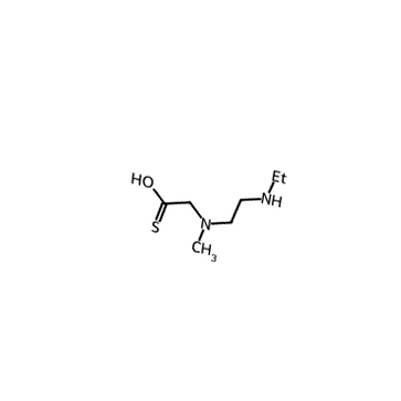 CCNCCN(C)CC(O)=S